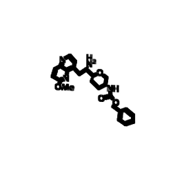 COc1ccc2nccc(C[C@H](N)[C@@H]3CC[C@@H](NC(=O)OCc4ccccc4)CO3)c2n1